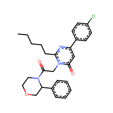 CCCCCc1nc(-c2ccc(Cl)cc2)cc(=O)n1CC(=O)N1CCOCC1c1ccccc1